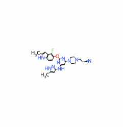 Cc1cc(Nc2cc(N3CCN(CCC#N)CC3)nc(Oc3ccc4[nH]c(C)cc4c3F)n2)n[nH]1